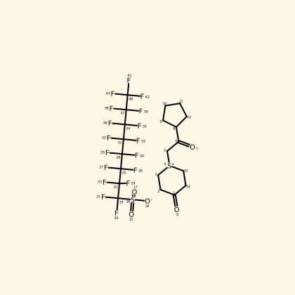 O=C1CC[S+](CC(=O)C2CCCC2)CC1.O=S(=O)([O-])C(F)(F)C(F)(F)C(F)(F)C(F)(F)C(F)(F)C(F)(F)C(F)(F)C(F)(F)F